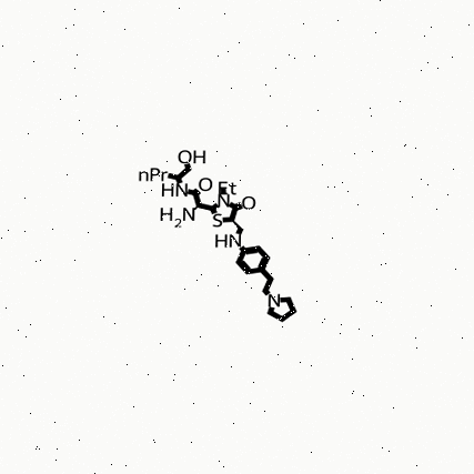 CCCC(CO)NC(=O)[C@@H](N)C1S[C@H](CNc2ccc(CCN3CCCC3)cc2)C(=O)N1CC